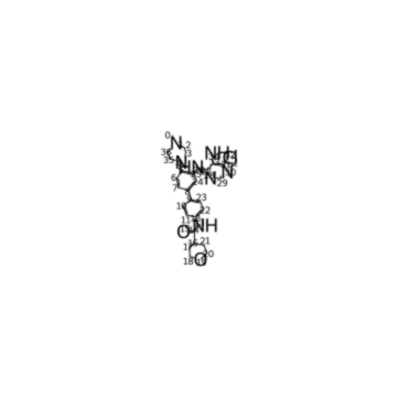 CN1CCN(c2ccc(-c3ccc(NC(=O)C4CCOCC4)cc3)cc2Nc2ncnc(Cl)c2N)CC1